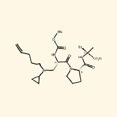 C=CCCCN(C[C@H](NC(=O)OC(C)(C)C)C(=O)N1CCC[C@H]1C(=O)N[C@@](C)(CC)C(=O)OCC)C1CC1